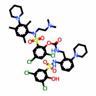 Cc1cc(C)c(N(CCN(C)C)S(=O)(=O)c2cc(Cl)cc(Cl)c2OC(=O)NCc2c(NS(=O)(=O)c3cc(Cl)cc(Cl)c3O)cccc2N2CCCCC2)c(C)c1N1CCCCC1